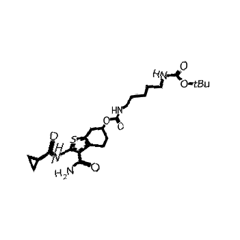 CC(C)(C)OC(=O)NCCCCCNC(=O)OC1CCc2c(sc(NC(=O)C3CC3)c2C(N)=O)C1